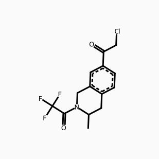 CC1Cc2ccc(C(=O)CCl)cc2CN1C(=O)C(F)(F)F